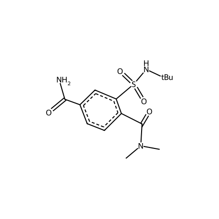 CN(C)C(=O)c1ccc(C(N)=O)cc1S(=O)(=O)NC(C)(C)C